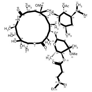 CC[C@H]1OC(=O)[C@H](C)[C@@H](O[C@H]2C[C@@](C)(OC)[C@@H](OC(=O)CCN(CC)CC)[C@H](C)O2)[C@H](C)[C@@H](O[C@@H]2O[C@H](C)C[C@H](N(C)C(C)=O)[C@H]2OC(C)=O)[C@](C)(OC)C[C@@H](C)C(=O)N[C@H](C)[C@@H](O)[C@]1(C)O